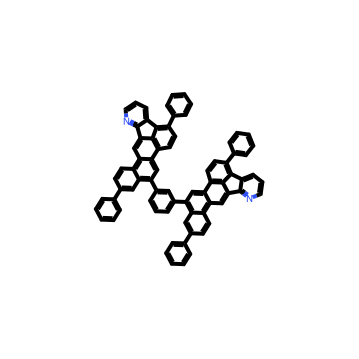 c1ccc(-c2ccc3c(c2)c(-c2cccc(-c4cc5c6ccc(-c7ccccc7)c7c6c(cc5c5ccc(-c6ccccc6)cc45)-c4ncccc4-7)c2)cc2c4ccc(-c5ccccc5)c5c4c(cc32)-c2ncccc2-5)cc1